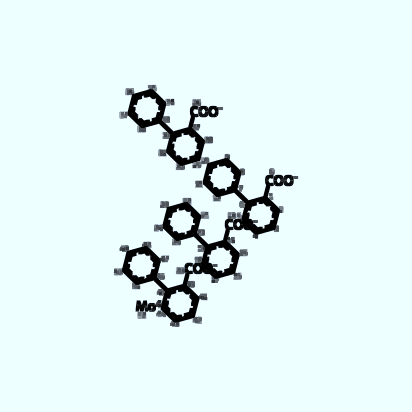 O=C([O-])c1ccccc1-c1ccccc1.O=C([O-])c1ccccc1-c1ccccc1.O=C([O-])c1ccccc1-c1ccccc1.O=C([O-])c1ccccc1-c1ccccc1.[Mo+4]